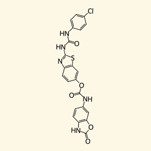 O=C(Nc1ccc(Cl)cc1)Nc1nc2ccc(OC(=O)Nc3ccc4[nH]c(=O)oc4c3)cc2s1